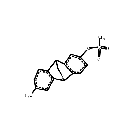 Cc1ccc2c(c1)C1CCC2c2cc(OS(=O)(=O)C(F)(F)F)ccc21